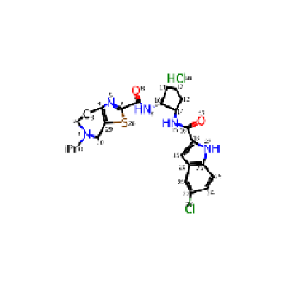 CC(C)N1CCc2nc(C(=O)N[C@@H]3CCC[C@H]3NC(=O)c3cc4cc(Cl)ccc4[nH]3)sc2C1.Cl